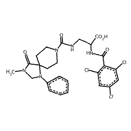 CN1CN(c2ccccc2)C2(CCN(C(=O)NCC(NC(=O)c3c(Cl)cc(Cl)cc3Cl)C(=O)O)CC2)C1=O